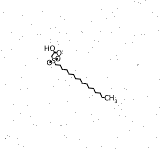 CCCCCCCCCCCCCCCCS(=O)(=O)CC(=O)O